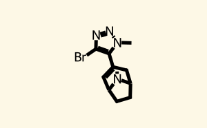 CN1C2C=C(c3c(Br)nnn3C)CC1CC2